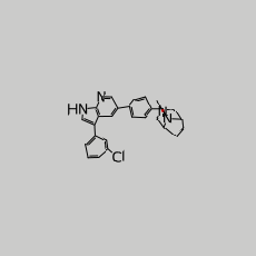 CN1CC2CCC(C1)N2Cc1ccc(-c2cnc3[nH]cc(-c4cccc(Cl)c4)c3c2)cc1